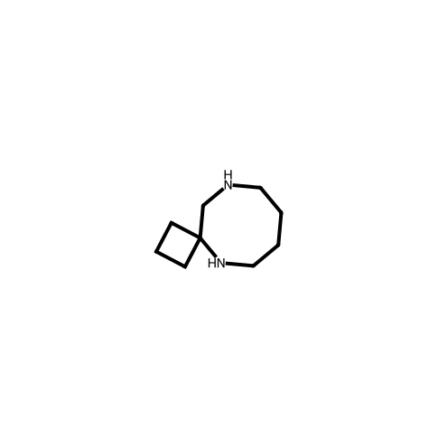 C1CCNC2(CCC2)CNC1